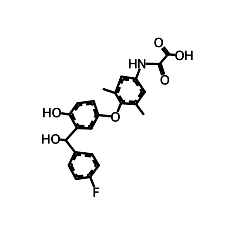 Cc1cc(NC(=O)C(=O)O)cc(C)c1Oc1ccc(O)c(C(O)c2ccc(F)cc2)c1